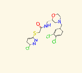 O=C(CSC1=CCC(Cl)N=N1)NC[C@H]1CN(CC2C=C(Cl)C(Cl)=CC2)CCO1